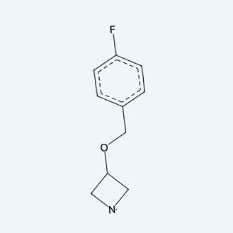 Fc1ccc(COC2C[N]C2)cc1